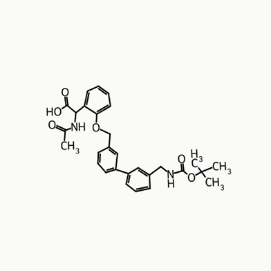 CC(=O)NC(C(=O)O)c1ccccc1OCc1cccc(-c2cccc(CNC(=O)OC(C)(C)C)c2)c1